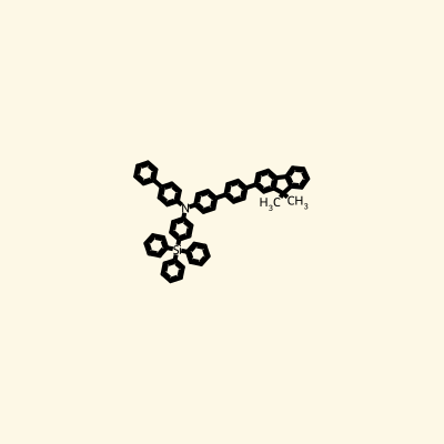 CC1(C)c2ccccc2-c2ccc(-c3ccc(-c4ccc(N(c5ccc(-c6ccccc6)cc5)c5ccc([Si](c6ccccc6)(c6ccccc6)c6ccccc6)cc5)cc4)cc3)cc21